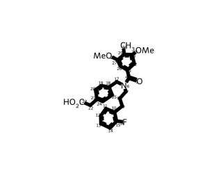 COc1cc(C(=O)N(CCCc2ccccc2F)Cc2ccc(CC(=O)O)cc2)cc(OC)c1C